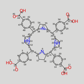 O=C(O)c1ccc(-c2c3nc(c(-c4ccc(C(=O)O)cc4)c4ccc([nH]4)c(-c4ccc(C(=O)O)cc4)c4nc(c(-c5ccc(C(=O)O)cc5)c5ccc2[nH]5)CC4)CC3)cc1